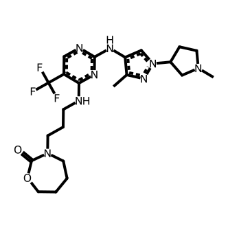 Cc1nn(C2CCN(C)C2)cc1Nc1ncc(C(F)(F)F)c(NCCCN2CCCCOC2=O)n1